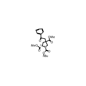 CCCCOC(=O)N1CC(CC(=O)c2ccccc2)(C(=O)OC)C[C@H]1C(=O)OC